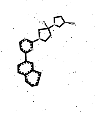 N[C@@H]1CCN([C@]2(N)CCN(c3nccc(-c4ccc5ccccc5c4)n3)C2)C1